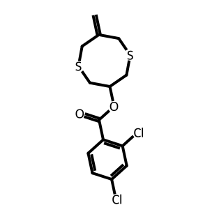 C=C1CSCC(OC(=O)c2ccc(Cl)cc2Cl)CSC1